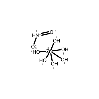 O=[NH+][O-].[OH][Zn]([OH])([OH])([OH])([OH])[OH]